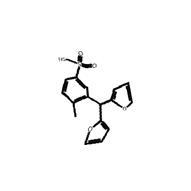 Cc1ccc(S(=O)(=O)S)cc1C(c1ccco1)c1ccco1